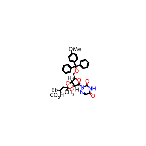 CCC(CC1(C)O[C@@H]2[C@H](O1)[C@@H](COC(c1ccccc1)(c1ccccc1)c1ccc(OC)cc1)O[C@H]2n1ncc(=O)[nH]c1=O)C(=O)O